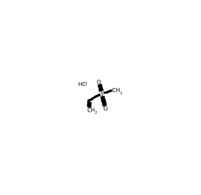 C=CS(C)(=O)=O.Cl